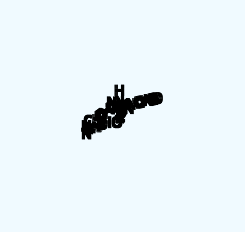 C[C@@H](Cn1cncn1)Oc1cc(-c2cnc(Nc3cn(C4CCC(N5CCOCC5)CC4)nc3OCC(C)(C)O)nc2)ccc1Cl